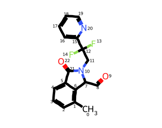 Cc1cccc2c1C(C=O)N(CC(F)(F)c1ccccn1)C2=O